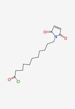 O=C(Cl)CCCCCCCCCCN1C(=O)C=CC1=O